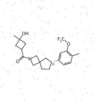 Cc1ccc([C@@H]2CCC3(C2)CN(C(=O)C2CC(C)(O)C2)C3)cc1OC(F)(F)F